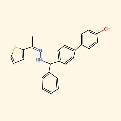 C/C(=N/NC(c1ccccc1)c1ccc(-c2ccc(O)cc2)cc1)c1cccs1